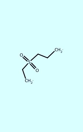 [CH2]CCS(=O)(=O)C[CH2]